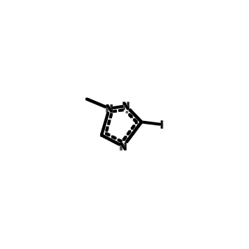 Cn1cnc(I)n1